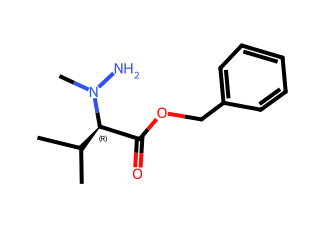 CC(C)[C@H](C(=O)OCc1ccccc1)N(C)N